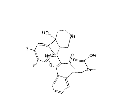 CC(=O)c1c([C@H]2CNCC[C@]2(O)c2ccc(F)c(F)c2)noc1-c1ccccc1CCN(C)C(=O)O